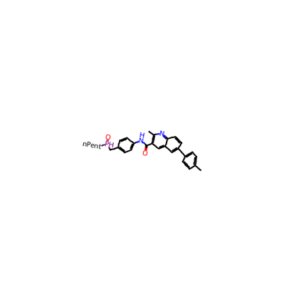 CCCCC[PH](=O)Cc1ccc(NC(=O)c2cc3cc(-c4ccc(C)cc4)ccc3nc2C)cc1